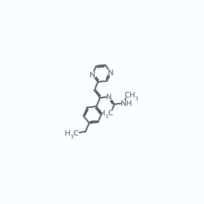 CCc1ccc(C(=C/c2cnccn2)/N=C(\C)NC)cc1